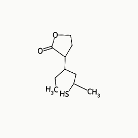 CCC(CC(C)S)C1CCOC1=O